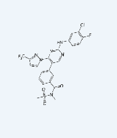 CN(C(=O)c1cccc(-c2cnc(Nc3ccc(F)c(Cl)c3)nc2-n2ccc(C(F)(F)F)n2)c1)S(C)(=O)=O